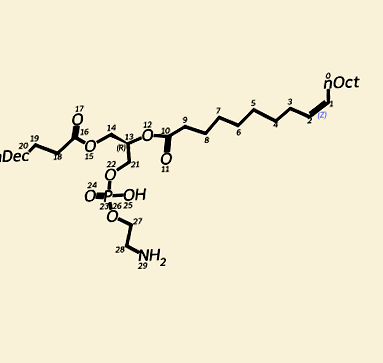 CCCCCCCC/C=C\CCCCCCCC(=O)O[C@H](COC(=O)CCCCCCCCCCCC)COP(=O)(O)OCCN